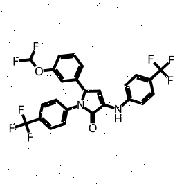 O=C1C(Nc2ccc(C(F)(F)F)cc2)=CC(c2cccc(OC(F)F)c2)N1c1ccc(C(F)(F)F)cc1